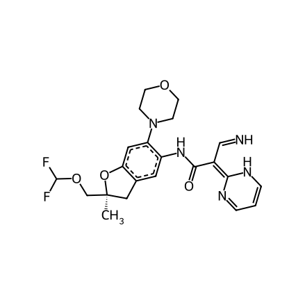 C[C@@]1(COC(F)F)Cc2cc(NC(=O)/C(C=N)=C3\N=CC=CN3)c(N3CCOCC3)cc2O1